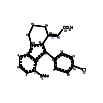 CSc1cccc2c1c(-c1ccc(Cl)cc1)c1n2CCC/C1=C\C(=O)O